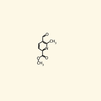 COC(=O)c1ccc(C=O)c(C)n1